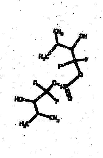 CC(C)C(O)C(F)(F)O[PH](=O)OC(F)(F)C(O)C(C)C